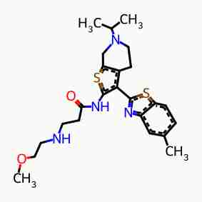 COCCNCCC(=O)Nc1sc2c(c1-c1nc3cc(C)ccc3s1)CCN(C(C)C)C2